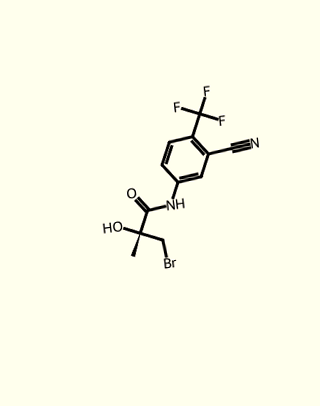 C[C@](O)(CBr)C(=O)Nc1ccc(C(F)(F)F)c(C#N)c1